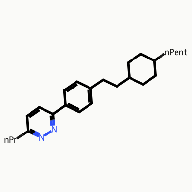 CCCCCC1CCC(CCc2ccc(-c3ccc(CCC)nn3)cc2)CC1